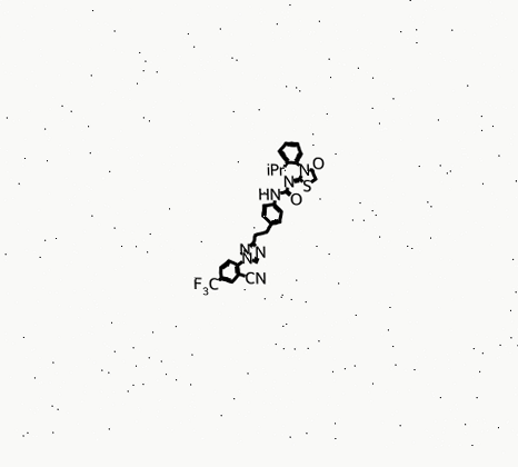 CC(C)c1ccccc1N1C(=O)CSC1=NC(=O)Nc1ccc(CCc2ncn(-c3ccc(C(F)(F)F)cc3C#N)n2)cc1